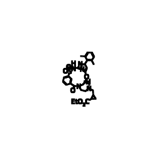 CCOC(=O)C1CC1CN1CCN2C[C@@H](C1)Oc1cc(-c3c(C)cccc3C)nc(n1)NS(=O)(=O)c1cccc(c1)C2=O